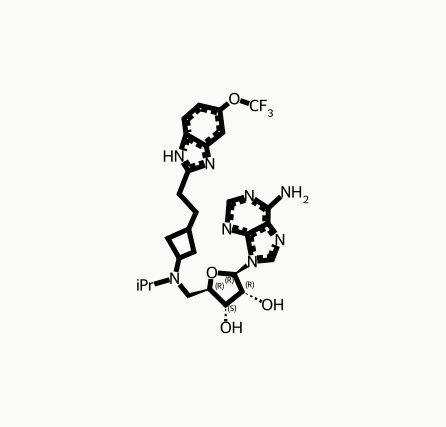 CC(C)N(C[C@H]1O[C@@H](n2cnc3c(N)ncnc32)[C@H](O)[C@@H]1O)C1CC(CCc2nc3cc(OC(F)(F)F)ccc3[nH]2)C1